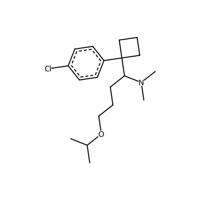 CC(C)OCCCC(N(C)C)C1(c2ccc(Cl)cc2)CCC1